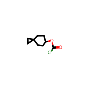 O=C(Cl)OC1CCC2(CC1)CC2